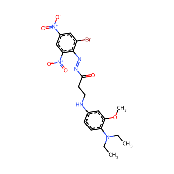 CCN(CC)c1ccc(NCCC(=O)N=Nc2c(Br)cc([N+](=O)[O-])cc2[N+](=O)[O-])cc1OC